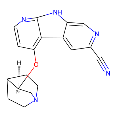 N#Cc1cc2c(cn1)[nH]c1nccc(O[C@H]3CN4CCC3CC4)c12